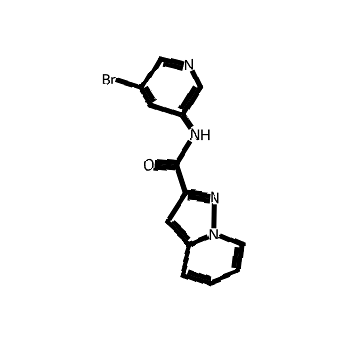 O=C(Nc1cncc(Br)c1)c1cc2ccccn2n1